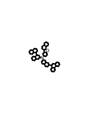 c1ccc2c(-c3cc(N(c4ccc5ccc(-c6cc7ccccc7c7ccccc67)cc5c4)c4ccc5oc6c7ccccc7ccc6c5c4)cc4ccccc34)cccc2c1